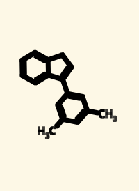 Cc1cc(C)cc(C2=CCc3ccccc32)c1